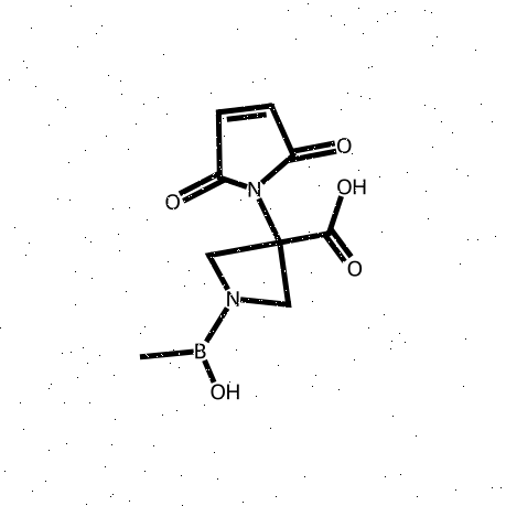 CB(O)N1CC(C(=O)O)(N2C(=O)C=CC2=O)C1